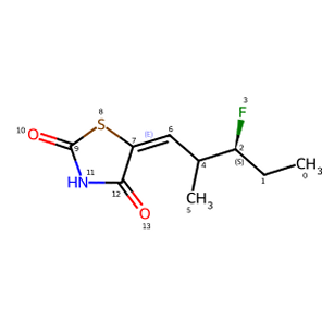 CC[C@H](F)C(C)/C=C1/SC(=O)NC1=O